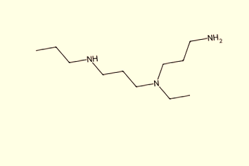 CCCNCCCN(CC)CCCN